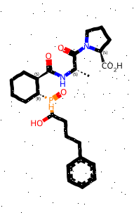 C[C@H](NC(=O)[C@@H]1CCCC[C@H]1[PH](=O)C(O)CCCc1ccccc1)C(=O)N1CCC[C@H]1C(=O)O